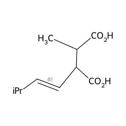 CC(C)/C=C/C(C(=O)O)C(C)C(=O)O